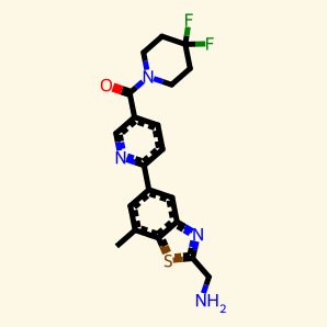 Cc1cc(-c2ccc(C(=O)N3CCC(F)(F)CC3)cn2)cc2nc(CN)sc12